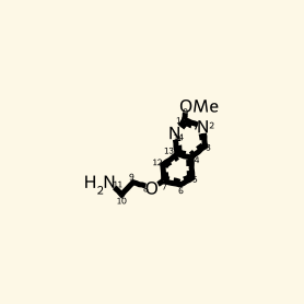 COc1ncc2ccc(OCCN)cc2n1